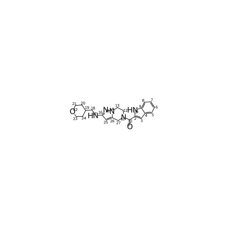 O=C(c1cc2ccccc2[nH]1)N1CCn2nc(NCC3CCOCC3)cc2C1